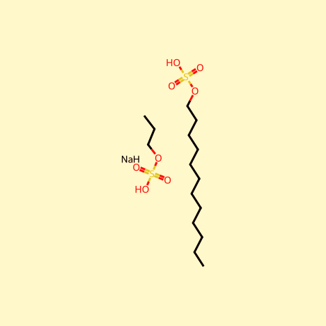 CCCCCCCCCCCCOS(=O)(=O)O.CCCOS(=O)(=O)O.[NaH]